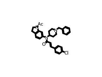 CC(=O)N1CCc2ccc(N(C(=O)C=Cc3ccc(Cl)cc3)C3CCN(Cc4ccccc4)CC3)cc21